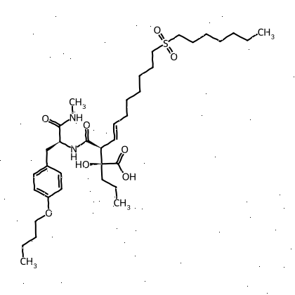 CCCCCCCS(=O)(=O)CCCCCC/C=C/[C@H](C(=O)N[C@@H](Cc1ccc(OCCCC)cc1)C(=O)NC)[C@@](O)(CCC)C(=O)O